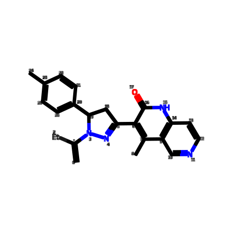 C=C(CC)N1N=C(c2c(C)c3cnccc3[nH]c2=O)CC1c1ccc(C)cc1